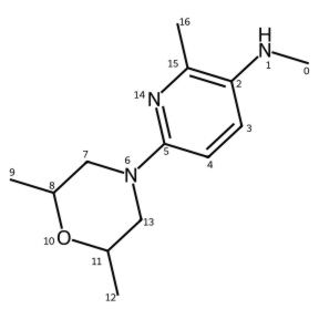 CNc1ccc(N2CC(C)OC(C)C2)nc1C